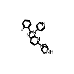 Fc1ccccc1-c1nc2ccc(N3CC4CC3CN4)nc2n1-c1ccncc1